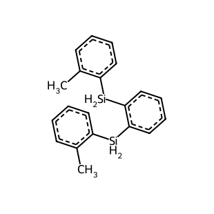 Cc1ccccc1[SiH2]c1ccccc1[SiH2]c1ccccc1C